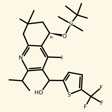 CC(C)c1nc2c(c(I)c1C(O)c1ccc(C(F)(F)F)s1)[C@H](O[Si](C)(C)C(C)(C)C)CC(C)(C)C2